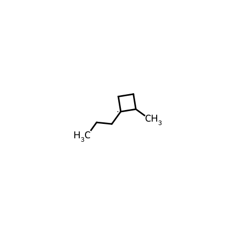 CCC[C]1CCC1C